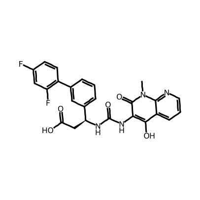 Cn1c(=O)c(NC(=O)N[C@@H](CC(=O)O)c2cccc(-c3ccc(F)cc3F)c2)c(O)c2cccnc21